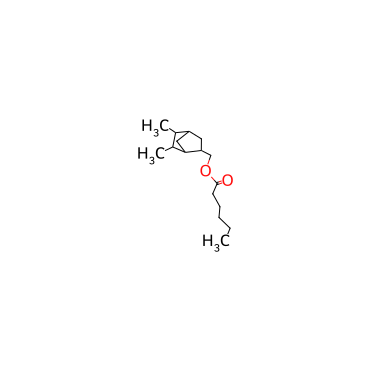 CCCCCC(=O)OCC1CC2CC1C(C)C2C